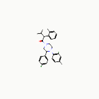 Cc1ccc(N2CCN(C(=O)C(c3ccccc3C)C(C)C)CC2c2ccc(Cl)cc2)c(Cl)c1